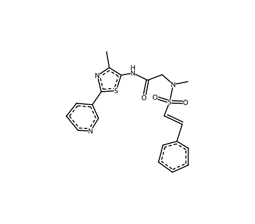 Cc1nc(-c2cccnc2)sc1NC(=O)CN(C)S(=O)(=O)/C=C/c1ccccc1